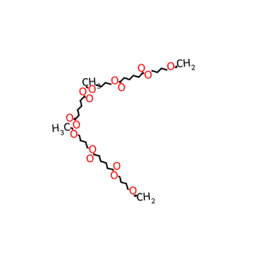 C=COCCCCOC(=O)CCCCC(=O)OCCCCOC(C)OC(=O)CCCCC(=O)OC(C)OCCCCOC(=O)CCCCC(=O)OCCCCOC=C